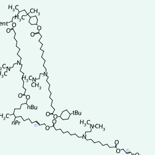 CCCCCCCC/C=C/COC(=O)CCCCCCCN(CCCCCCCC(=O)OC/C=C/CCCCC(CCC)C(C)CCCC(CCCC)OC(=O)CCCCCCCN(CCCCCCCC(=O)OC(CCCCC)CCC(C)CC(C)(C)C1CCC(OC(=O)CCCCCCCCCN(CCCCCCCCCC(=O)OC2CCC(C(C)(C)C)CC2)CCN(C)C)CC1)CCN(C)C)CCN(C)C